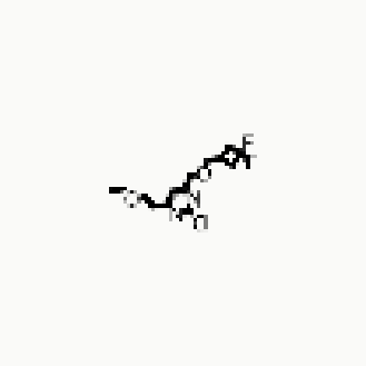 CCOC=Cc1cc(COCC2CC(F)(F)C2)nc(Cl)n1